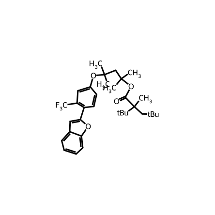 CC(C)(C)CC(C)(C(=O)OC(C)(C)CC(C)(C)Oc1ccc(-c2cc3ccccc3o2)c(C(F)(F)F)c1)C(C)(C)C